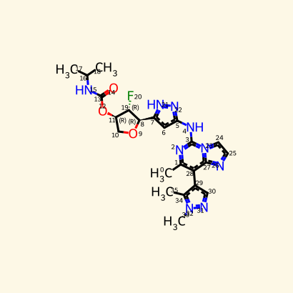 Cc1nc(Nc2cc([C@H]3OC[C@@H](OC(=O)NC(C)C)[C@@H]3F)[nH]n2)n2ccnc2c1-c1cnn(C)c1C